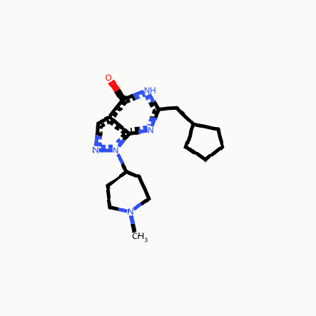 CN1CCC(n2ncc3c(=O)[nH]c(CC4CCCC4)nc32)CC1